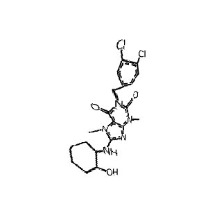 Cn1c(NC2CCCCC2O)nc2c1c(=O)n(Cc1ccc(Cl)c(Cl)c1)c(=O)n2C